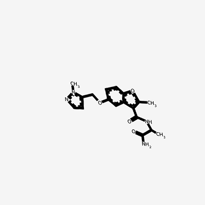 Cc1oc2ccc(OCc3ccnn3C)cc2c1C(=O)NC(C)C(N)=O